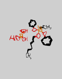 CCCCCCO[PH](CC)(Oc1ccccc1)Oc1ccccc1.OP(O)O